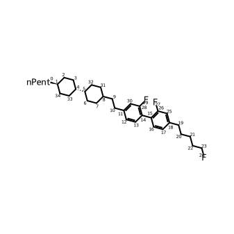 CCCCC[C@H]1CC[C@H](C2CCC(CCc3ccc(-c4ccc(CCCCCF)cc4F)c(F)c3)CC2)CC1